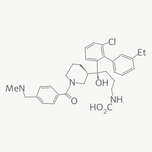 CCc1cccc(-c2c(Cl)cccc2[C@](O)(CCCNC(=O)O)[C@@H]2CCCN(C(=O)c3ccc(CNC)cc3)C2)c1